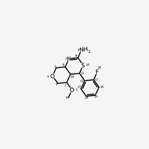 COC1COCC2N=C(N)SC(c3ccccc3F)C21